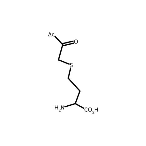 CC(=O)C(=O)CSCCC(N)C(=O)O